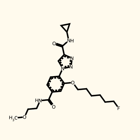 COCCNC(=O)c1ccc(-n2cc(C(=O)NC3CC3)nn2)c(OCCCCCCF)c1